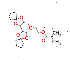 C=C(C)C(=O)OCCOCC1OC2(CCCC2)OC1C1COC2(CCCC2)O1